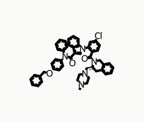 CN1CCN(C[C@@H]2Cc3ccccc3CN2C(=O)c2ccc(Cl)cc2-n2cc(C(=O)N(c3ccccc3)c3ccc(OCc4ccccc4)cc3)c3ccccc32)CC1